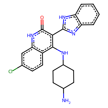 NC1CCC(Nc2c(-c3nc4ccccc4[nH]3)c(=O)[nH]c3cc(Cl)ccc23)CC1